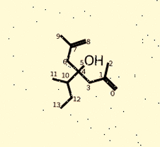 C=C(C)CC(O)(CC(=C)C)C(C)CC